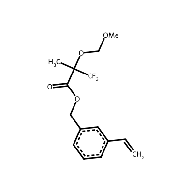 C=Cc1cccc(COC(=O)C(C)(OCOC)C(F)(F)F)c1